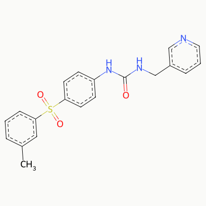 Cc1cccc(S(=O)(=O)c2ccc(NC(=O)NCc3cccnc3)cc2)c1